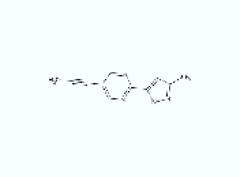 CC#Cc1ccc(-c2cc(C(F)(F)F)n[nH]2)nc1